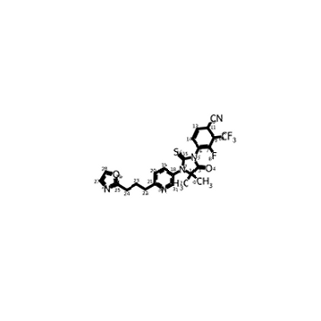 CC1(C)C(=O)N(C2=C(F)C(C(F)(F)F)C(C#N)C=C2)C(=S)N1c1ccc(CCCc2ncco2)nc1